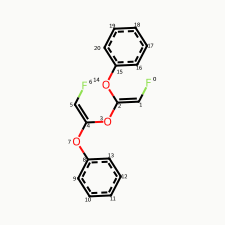 FC=C(OC(=CF)Oc1ccccc1)Oc1ccccc1